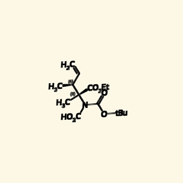 C=C[C@H](C)[C@](C)(C(=O)OCC)N(C(=O)O)C(=O)OC(C)(C)C